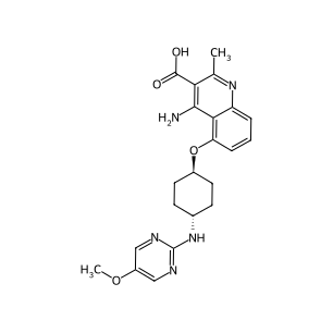 COc1cnc(N[C@H]2CC[C@H](Oc3cccc4nc(C)c(C(=O)O)c(N)c34)CC2)nc1